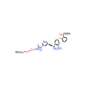 CNC(=O)c1ccccc1Sc1ccc(C(=N)C#Cc2cncc(NC(=O)NCCOCCOCCOC)c2)c(N)c1